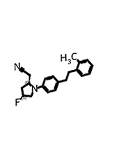 Cc1ccccc1CCc1ccc(N2C[C@@H](F)C[C@H]2CC#N)cc1